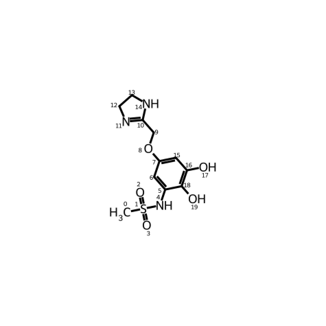 CS(=O)(=O)Nc1cc(OCC2=NCCN2)cc(O)c1O